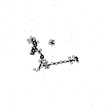 CC[C@@]1(O)C(=O)OCc2c1cc1n(c2=O)Cc2c-1nc1cc3c(cc1c2CNC(=O)OCc1ccc(NC(=O)[C@H](CCCCN)NC(=O)[C@@H](NC(=O)CCOCCOCCOCCOCCNC(=O)CCN2C(=O)C=CC2=O)C(C)C)cc1)CCO3.O=C(O)C(F)(F)F